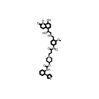 COc1cc(N(Cl)C(=O)CCN2CCC(OC(=O)Nc3ccccc3-c3ccsc3)CC2)ccc1CNCC(O)c1ccc(O)c2[nH]c(=O)ccc12